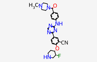 CN1CCN(C(=O)c2ccc(Nc3ncnc(-c4ccc(O[C@H]5CCNC[C@@H]5F)c(C#N)c4)n3)cc2)CC1